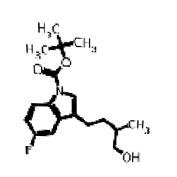 C[C@@H](CO)CCc1cn(C(=O)OC(C)(C)C)c2ccc(F)cc12